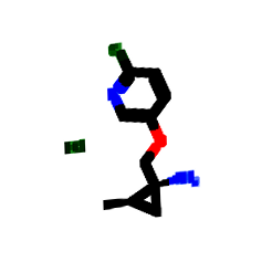 C[C@@H]1C[C@]1(N)COc1ccc(Cl)nc1.Cl